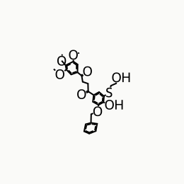 COc1cc(C(=O)CCC(=O)c2cc(OCc3ccccc3)c(O)c(SCCO)c2)cc(OC)c1OC